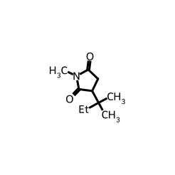 CCC(C)(C)C1CC(=O)N(C)C1=O